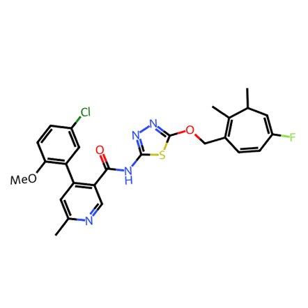 COc1ccc(Cl)cc1-c1cc(C)ncc1C(=O)Nc1nnc(OCC2=C(C)C(C)C=C(F)C=C2)s1